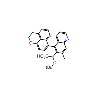 Cc1cc2ncccc2c(-c2ccc3c4c(ccnc24)CCO3)c1C(OC(C)(C)C)C(=O)O